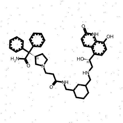 NC(=O)C(c1ccccc1)(c1ccccc1)[C@@H]1CCN(CCC(=O)NCC2CCCC(CNC[C@H](O)c3ccc(O)c4[nH]c(=O)ccc34)C2)C1